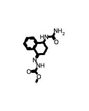 COC(=O)NN=C1CCC(NC(N)=O)c2ccccc21